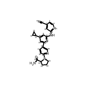 N#Cc1ccnc(Nc2cc(C3CC3)cc(-c3ccc(N4CCCC4C(N)=O)nc3)n2)c1